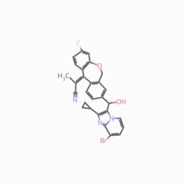 CC(C#N)=C1c2ccc(C(O)c3c(C4CC4)nc4c(Br)cccn34)cc2COc2cc(F)ccc21